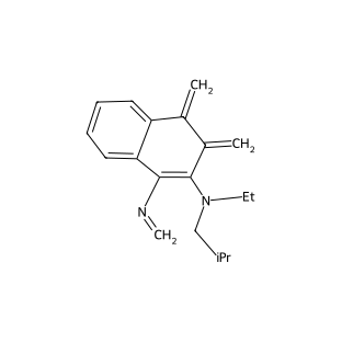 C=Nc1c(N(CC)CC(C)C)c(=C)c(=C)c2ccccc12